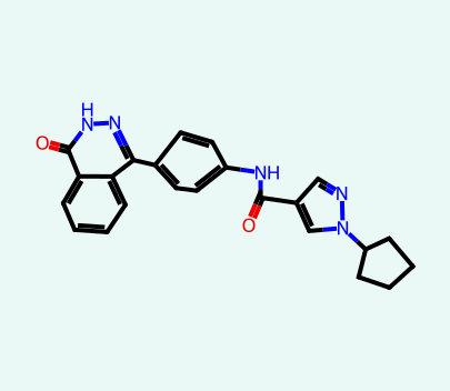 O=C(Nc1ccc(-c2n[nH]c(=O)c3ccccc23)cc1)c1cnn(C2CCCC2)c1